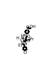 CCc1nc2c(nc1-c1ccc(Cl)cc1)c(OC(C)C)c(C(=O)NC1CCN(C(=O)CO)CC1)n2C